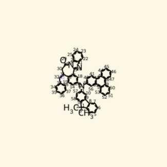 CC1(C)c2ccccc2-c2cc(N(c3ccc4c(c3)-c3nc5ccccc5n3C(=O)C/C4=C/c3ccccc3)c3ccc4c5ccccc5c5ccccc5c4c3)ccc21